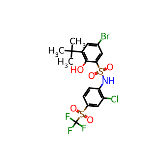 CC(C)(C)c1cc(Br)cc(S(=O)(=O)Nc2ccc(S(=O)(=O)C(F)(F)F)cc2Cl)c1O